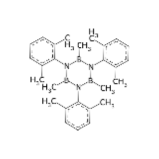 CB1N(c2c(C)cccc2C)B(C)N(c2c(C)cccc2C)B(C)N1c1c(C)cccc1C